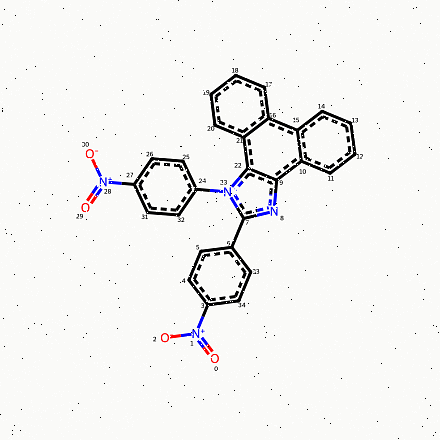 O=[N+]([O-])c1ccc(-c2nc3c4ccccc4c4ccccc4c3n2-c2ccc([N+](=O)[O-])cc2)cc1